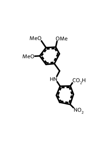 COc1cc(CNc2ccc([N+](=O)[O-])cc2C(=O)O)cc(OC)c1OC